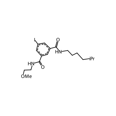 COCCNC(=O)c1cc(I)cc(C(=O)NCCCCC(C)C)c1